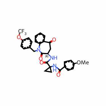 COc1ccc(C(=O)NC2(C(=O)N[C@@H]3CC(=O)c4ccccc4N(Cc4ccc(OC(F)(F)F)cc4)C3=O)CC2)cc1